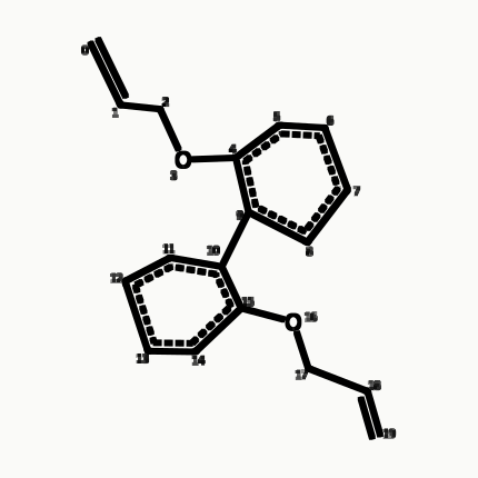 C=CCOc1ccccc1-c1ccccc1OCC=C